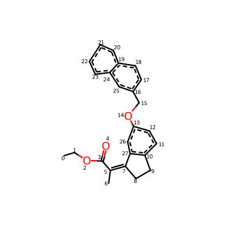 CCOC(=O)C(C)=C1CCc2ccc(OCc3ccc4ccccc4c3)cc21